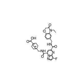 CCN1C(=O)COc2ccc(CNC(=O)c3cc(C(=O)NCC45CCC(C(=O)O)(CC4)CC5)n4ncc(F)c4n3)cc21